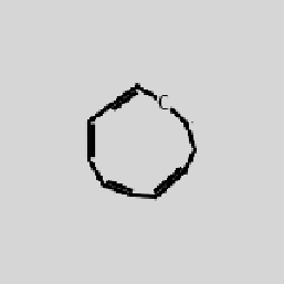 [CH]1CC=CC=CC=CC=CC1